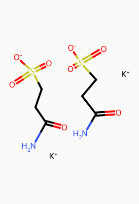 NC(=O)CCS(=O)(=O)[O-].NC(=O)CCS(=O)(=O)[O-].[K+].[K+]